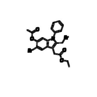 CCOC(=O)Cc1c(CBr)n(-c2ccccc2)c2cc(OC(C)=O)c(Br)cc12